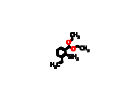 C=Cc1cccc(C(OCC)OCC)c1[SiH3]